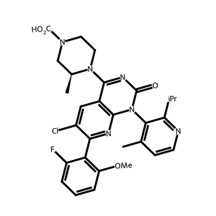 COc1cccc(F)c1-c1nc2c(cc1Cl)c(N1CCN(C(=O)O)C[C@@H]1C)nc(=O)n2-c1c(C)ccnc1C(C)C